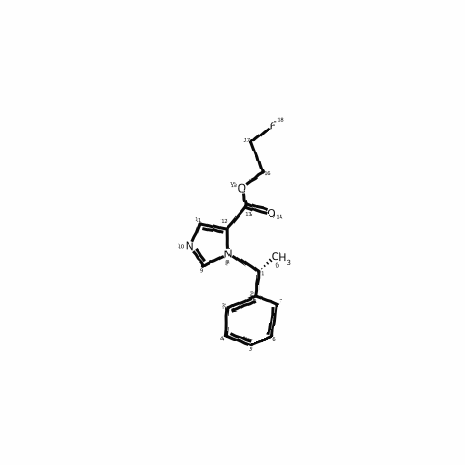 C[C@H](c1ccccc1)n1cncc1C(=O)OCCF